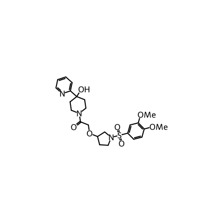 COc1ccc(S(=O)(=O)N2CCC(OCC(=O)N3CCC(O)(c4ccccn4)CC3)C2)cc1OC